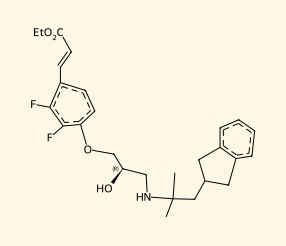 CCOC(=O)C=Cc1ccc(OC[C@H](O)CNC(C)(C)CC2Cc3ccccc3C2)c(F)c1F